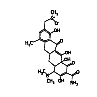 Cc1cc(C[S+](C)[O-])c(O)c2c1CC1CC3C(N(C)C)C(O)=C(C(N)=O)C(=O)C3(O)C(O)=C1C2=O